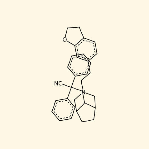 N#CC(CC1C2CCC1CN(CCc1ccc3c(c1)OCC3)C2)(c1ccccc1)c1ccccc1